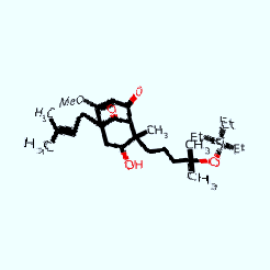 CC[Si](CC)(CC)OC(C)(C)CCCC1(C)C(O)CC2(CC=C(C)C)C(=O)C1C(=O)C=C2OC